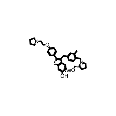 COC[C@@H]1CCCN1Cc1ccc(Cc2c(-c3ccc(OCCN4CCCC4)cc3)sc3cc(O)ccc23)cc1C